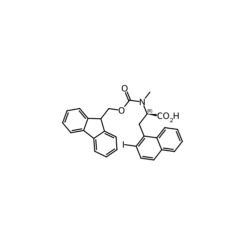 CN(C(=O)OCC1c2ccccc2-c2ccccc21)[C@H](Cc1c(I)ccc2ccccc12)C(=O)O